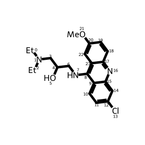 CCN(CC)CC(O)CNc1c2ccc(Cl)cc2nc2ccc(OC)cc12